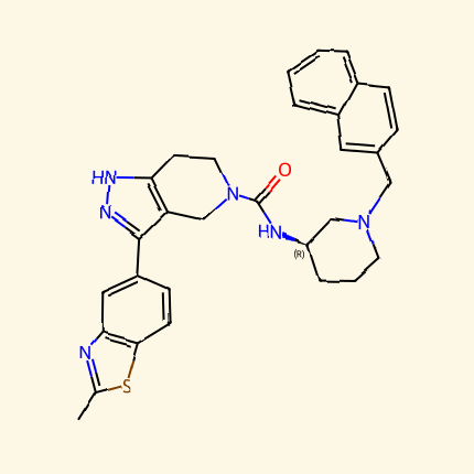 Cc1nc2cc(-c3n[nH]c4c3CN(C(=O)N[C@@H]3CCCN(Cc5ccc6ccccc6c5)C3)CC4)ccc2s1